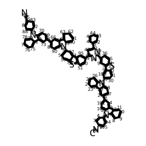 [C-]#[N+]c1ccc(-n2c3ccccc3c3cc(-c4ccc5c(c4)c4ccccc4n5-c4ccc5sc6ccc(-c7nc(-c8ccccc8)cc(-c8ccc9sc%10ccc(-n%11c%12ccccc%12c%12cc(-c%13ccc%14c(c%13)c%13ccccc%13n%14-c%13ccc(C#N)cc%13)ccc%12%11)cc%10c9c8)n7)cc6c5c4)ccc32)cc1